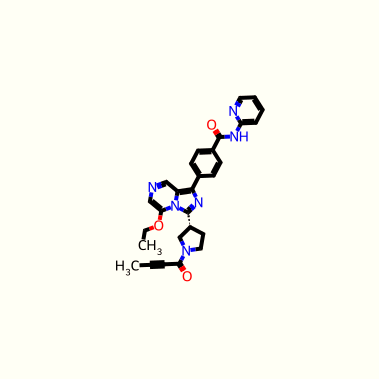 CC#CC(=O)N1CC[C@@H](c2nc(-c3ccc(C(=O)Nc4ccccn4)cc3)c3cncc(OCC)n23)C1